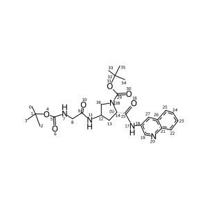 CC(C)(C)OC(=O)NCC(=O)NC1C[C@@H](C(=O)Nc2cnc3ccccc3c2)N(C(=O)OC(C)(C)C)C1